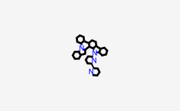 c1ccc(-c2cccc(-n3c4ccccc4c4ccc5c6ccccc6n6c7ccccc7cc6c5c43)n2)nc1